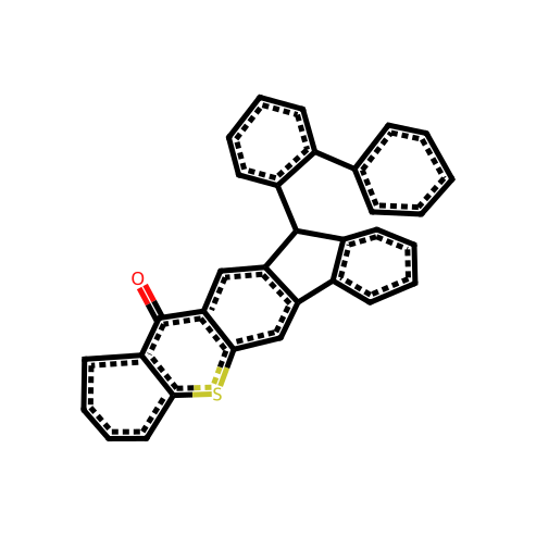 O=c1c2ccccc2sc2cc3c(cc12)C(c1ccccc1-c1ccccc1)c1ccccc1-3